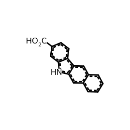 O=C(O)c1ccc2c(c1)[nH]c1cc3ccccc3cc12